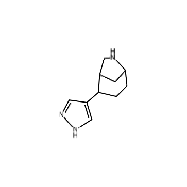 c1n[nH]cc1C1CCC2CC1CN2